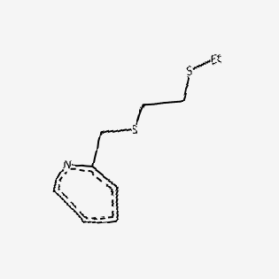 CCSCCSCc1ccccn1